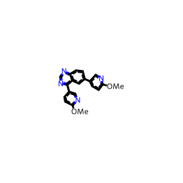 COc1ccc(-c2ccc3ncnc(-c4ccc(OC)nc4)c3c2)cn1